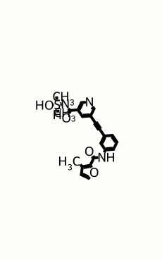 Cc1ccoc1C(=O)Nc1cccc(C#Cc2cncc(C(=O)N=[SH](C)(C)O)c2)c1